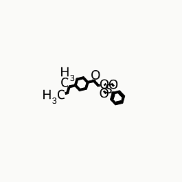 CCC(C)C1CCC(C(=O)COS(=O)(=O)c2ccccc2)CC1